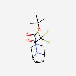 CC(C)(C)OC(=O)N1CC2C=CC(C1)N2C(=O)C(F)(F)F